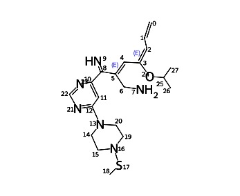 C=C/C=C(\C=C(/CN)C(=N)c1cc(N2CCN(SC)CC2)ncn1)OC(C)C